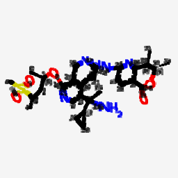 C[C@H](C[C@@H](C)S(C)(=O)=O)Oc1ncc([C@](C)(N)C2CC2)c2cc(Nc3ccc4c(n3)[C@@H](C)[C@H](C)OC4=O)ncc12